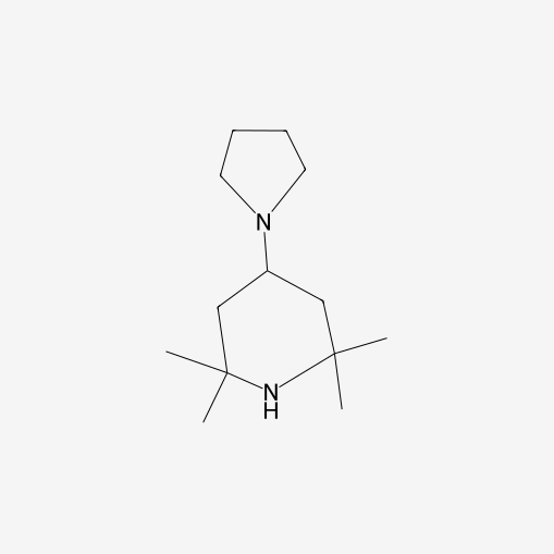 CC1(C)CC(N2CCCC2)CC(C)(C)N1